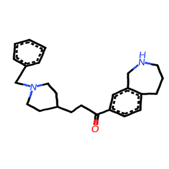 O=C(CCC1CCN(Cc2ccccc2)CC1)c1ccc2c(c1)CNCCC2